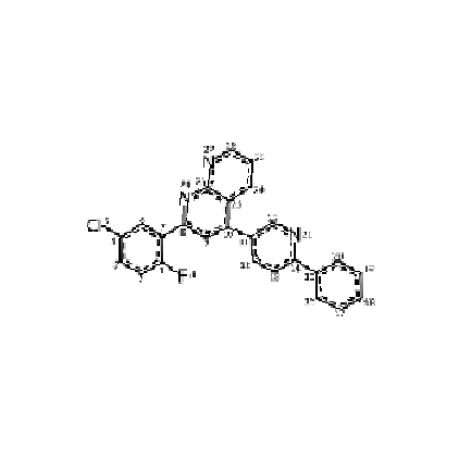 Fc1ccc(Cl)cc1-c1cc(-c2ccc(-c3ccccc3)nc2)c2cccnc2n1